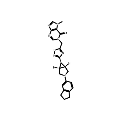 Cn1cnc2ncn(Cc3nc([C@H]4[C@@H]5CN(c6ccc7c(c6)CCC7)C[C@@H]54)no3)c(=O)c21